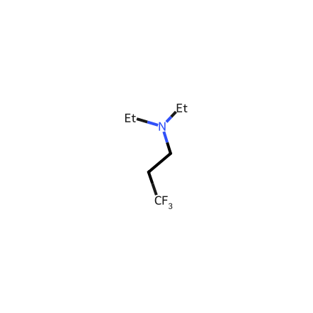 CCN(CC)CCC(F)(F)F